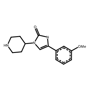 COc1cccc(C2=CN(C3CCNCC3)C(=O)[N]2)c1